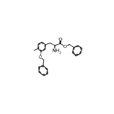 Cc1ccc(CC(N)C(=O)OCc2ccccc2)cc1OCc1ccccc1